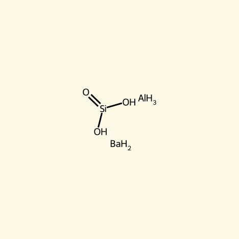 O=[Si](O)O.[AlH3].[BaH2]